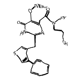 CCCCOc1c(C(=O)N(CCO)C(C)C)nc(Cc2cscc2-c2ccccc2)[nH]c1=O